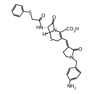 Nc1ccc(CN2CC/C(=C\C3=C(C(=O)O)N4C(=O)[C@@H](NC(=O)CSc5ccccc5)[C@H]4SC3)C2=O)cc1